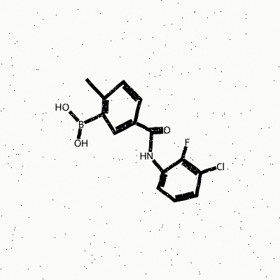 Cc1ccc(C(=O)Nc2cccc(Cl)c2F)cc1B(O)O